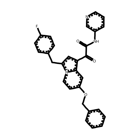 O=C(Nc1cccnc1)C(=O)c1cc(Cc2ccc(F)cc2)n2ccc(OCc3ccccc3)cc12